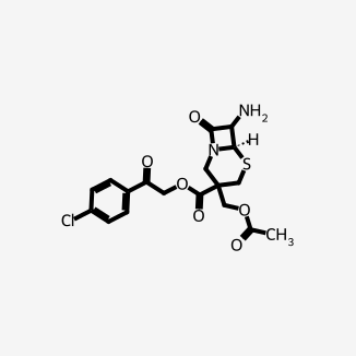 CC(=O)OCC1(C(=O)OCC(=O)c2ccc(Cl)cc2)CS[C@@H]2C(N)C(=O)N2C1